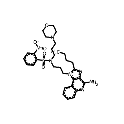 CCCCc1nc2c(N)nc3ccccc3c2n1CCCN(CCCN1CCOCC1)S(=O)(=O)c1ccccc1[N+](=O)[O-]